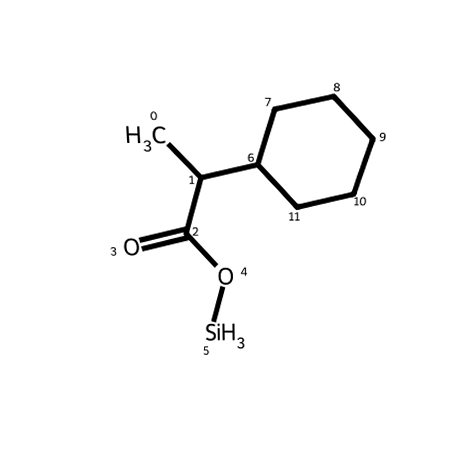 CC(C(=O)O[SiH3])C1CCCCC1